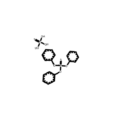 OP(O)(O)=S.S=P(Oc1ccccc1)(Oc1ccccc1)Oc1ccccc1